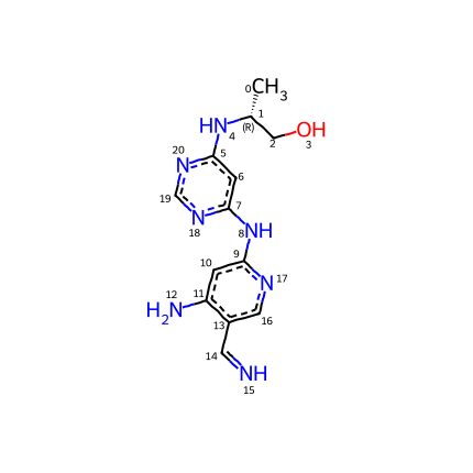 C[C@H](CO)Nc1cc(Nc2cc(N)c(C=N)cn2)ncn1